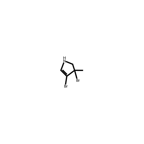 CC1(Br)CNC=C1Br